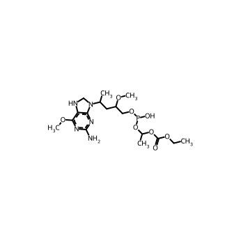 CCOC(=O)OC(C)OP(O)OCC(CC(C)N1CNc2c(OC)nc(N)nc21)OC